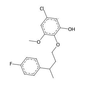 COc1cc(Cl)[c]c(O)c1OCCC(C)c1ccc(F)cc1